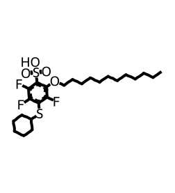 CCCCCCCCCCCCOc1c(F)c(SC2CCCCC2)c(F)c(F)c1S(=O)(=O)O